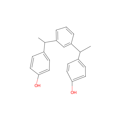 CC(c1ccc(O)cc1)c1cccc(C(C)c2ccc(O)cc2)c1